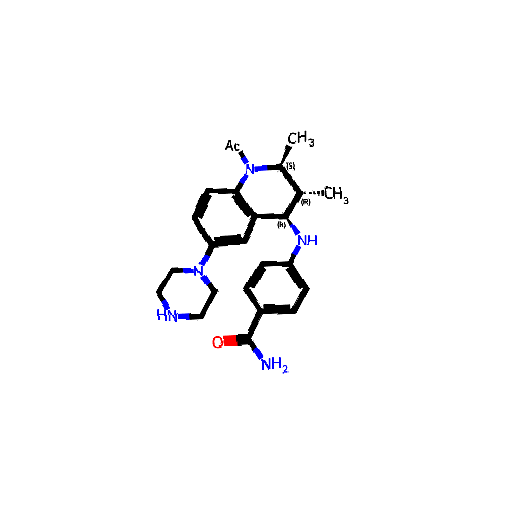 CC(=O)N1c2ccc(N3CCNCC3)cc2[C@H](Nc2ccc(C(N)=O)cc2)[C@@H](C)[C@@H]1C